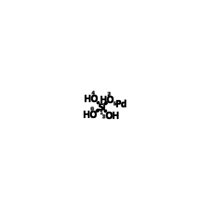 O[Si](O)(O)O.[Pd]